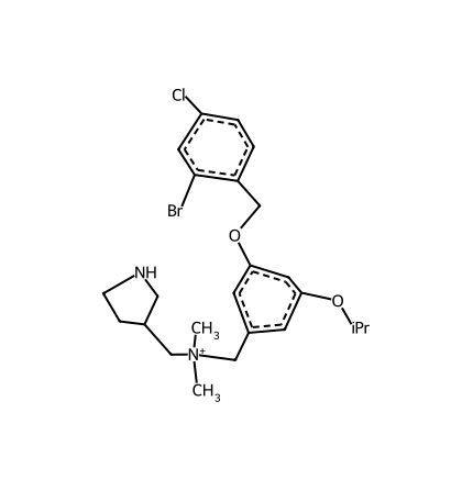 CC(C)Oc1cc(C[N+](C)(C)CC2CCNC2)cc(OCc2ccc(Cl)cc2Br)c1